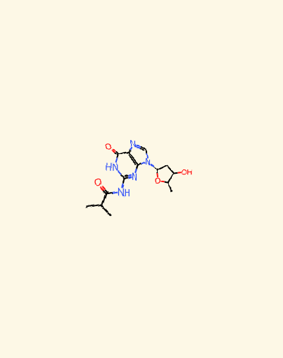 CC(C)C(=O)Nc1nc2c(ncn2[C@H]2CC(O)[C@@H](C)O2)c(=O)[nH]1